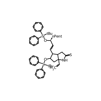 C=CC12CC(O[Si](c3ccccc3)(c3ccccc3)C(C)(C)C)C(C=C[C@H](CCCCC)O[Si](c3ccccc3)(c3ccccc3)C(C)(C)C)C1CC(=S)N2